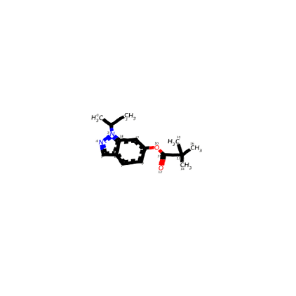 CC(C)n1ncc2ccc(OC(=O)C(C)(C)C)cc21